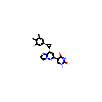 Cc1cc([C@H]2C[C@@H]2c2cc(-c3c[nH]c(=O)[nH]c3=O)nn3ccnc23)cc(F)c1C